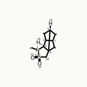 CN1[C@H]2C3C[C@@H]4CC3CC42CS1(=O)=O